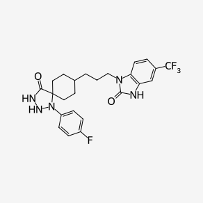 O=C1NNN(c2ccc(F)cc2)C12CCC(CCCn1c(=O)[nH]c3cc(C(F)(F)F)ccc31)CC2